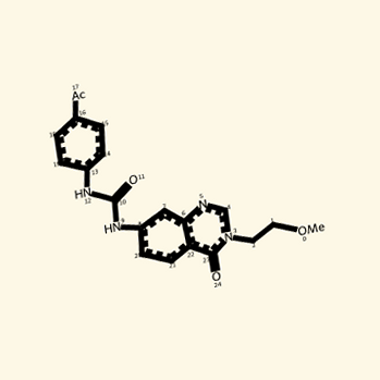 COCCn1cnc2cc(NC(=O)Nc3ccc(C(C)=O)cc3)ccc2c1=O